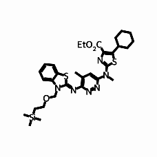 CCOC(=O)c1nc(N(C)c2cc(C)c(/N=c3\sc4ccccc4n3COCC[Si](C)(C)C)nn2)sc1C1CCCCC1